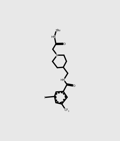 CC(C)(C)NC(=O)CN1CCC(CNC(=O)c2cc(I)cc(C(F)(F)F)c2)CC1